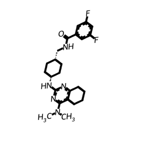 CN(C)c1nc(N[C@H]2CC[C@@H](CNC(=O)c3cc(F)cc(F)c3)CC2)nc2c1CCCC2